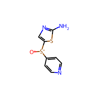 Nc1ncc([S+]([O-])c2ccncc2)s1